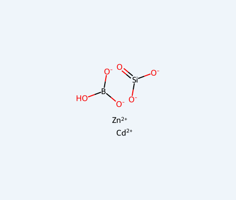 O=[Si]([O-])[O-].[Cd+2].[O-]B([O-])O.[Zn+2]